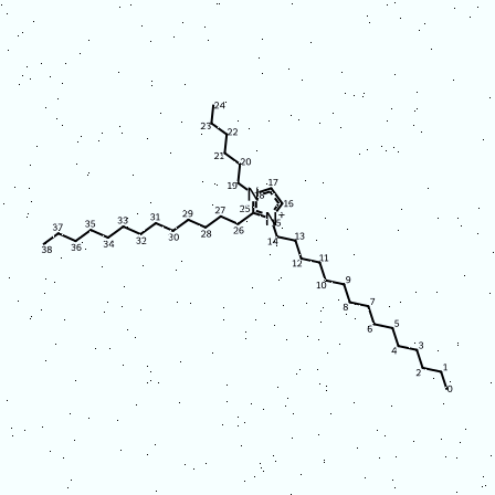 CCCCCCCCCCCCCCC[n+]1ccn(CCCCCC)c1CCCCCCCCCCCCC